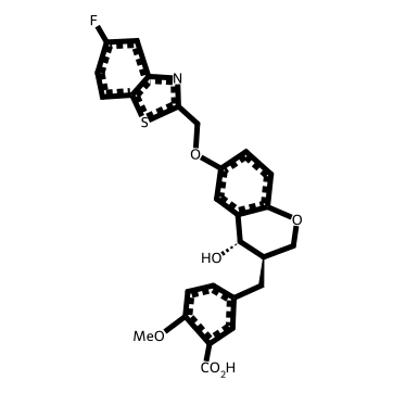 COc1ccc(C[C@@H]2COc3ccc(OCc4nc5cc(F)ccc5s4)cc3[C@H]2O)cc1C(=O)O